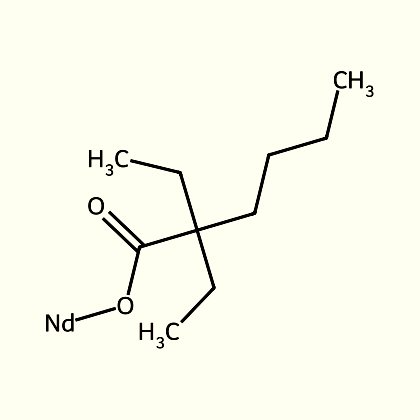 CCCCC(CC)(CC)C(=O)[O][Nd]